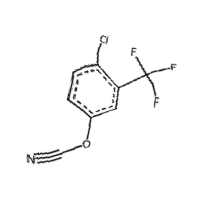 N#COc1ccc(Cl)c(C(F)(F)F)c1